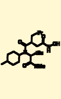 CNC(=O)[C@@H](N(C(=O)[C@H](CC(=O)NO)CC(C)C)C1CCC(C)CC1)C(C)(C)C